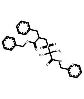 CC(C)(C(=O)NCc1ccccn1)S(=O)(=O)CC(Cc1ccccc1)C(=O)OCc1ccccc1